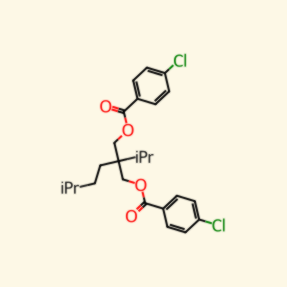 CC(C)CCC(COC(=O)c1ccc(Cl)cc1)(COC(=O)c1ccc(Cl)cc1)C(C)C